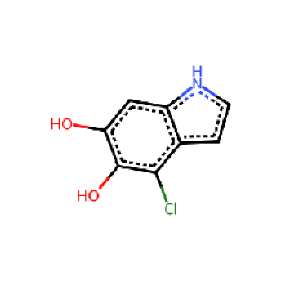 Oc1cc2[nH]ccc2c(Cl)c1O